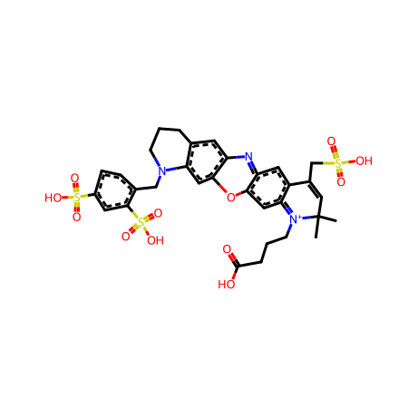 CC1(C)C=C(CS(=O)(=O)O)c2cc3c(cc2=[N+]1CCCC(=O)O)Oc1cc2c(cc1N=3)CCCN2Cc1ccc(S(=O)(=O)O)cc1S(=O)(=O)O